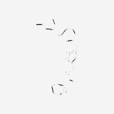 C=C/C=C(\C=C)Oc1cccc(Cn2cc(CNC(=O)c3ccccn3)nn2)c1